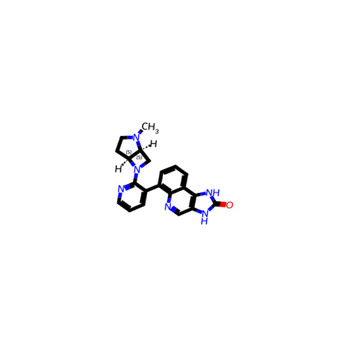 CN1CC[C@H]2[C@@H]1CN2c1ncccc1-c1cccc2c1ncc1[nH]c(=O)[nH]c12